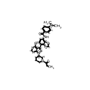 C=CC(=O)N1CCC[C@@H](n2nc(-c3ccc(NC(=O)c4ccc(N(C)C)cc4)c4c3OCO4)c3c(N)ncnc32)C1